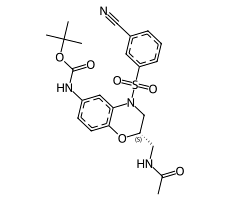 CC(=O)NC[C@H]1CN(S(=O)(=O)c2cccc(C#N)c2)c2cc(NC(=O)OC(C)(C)C)ccc2O1